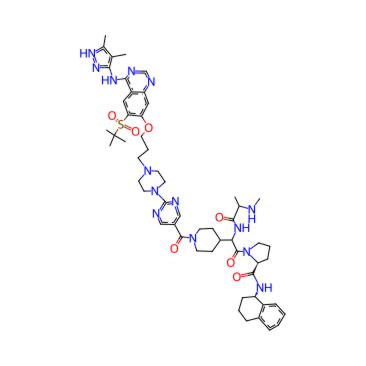 CNC(C)C(=O)NC(C(=O)N1CCC[C@H]1C(=O)N[C@@H]1CCCc2ccccc21)C1CCN(C(=O)c2cnc(N3CCN(CCCOc4cc5ncnc(Nc6n[nH]c(C)c6C)c5cc4S(=O)(=O)C(C)(C)C)CC3)nc2)CC1